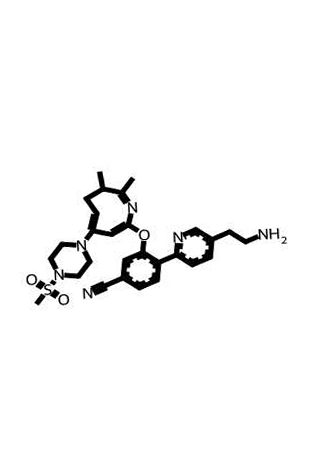 C/C1=N/C(Oc2cc(C#N)ccc2-c2ccc(CCN)cn2)=C\C(N2CCN(S(C)(=O)=O)CC2)=C\CC1C